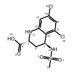 CS(=O)(=O)N[C@H]1C[C@H](C(=O)O)Nc2cc(Cl)cc(Cl)c21